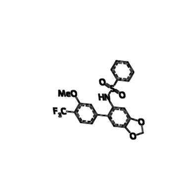 COc1cc(-c2cc3c(cc2NS(=O)(=O)c2ccccc2)OCO3)ccc1C(F)(F)F